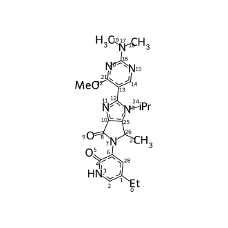 CCc1c[nH]c(=O)c(N2C(=O)c3nc(-c4cnc(N(C)C)nc4OC)n(C(C)C)c3C2C)c1